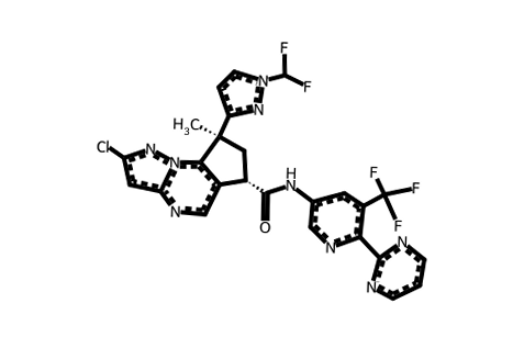 C[C@]1(c2ccn(C(F)F)n2)C[C@H](C(=O)Nc2cnc(-c3ncccn3)c(C(F)(F)F)c2)c2cnc3cc(Cl)nn3c21